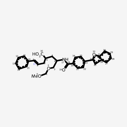 COCOCC(CC(C/C=C/c1ccccc1)C(=O)O)NC(=O)c1ccc(-c2cc3ccccc3o2)cc1